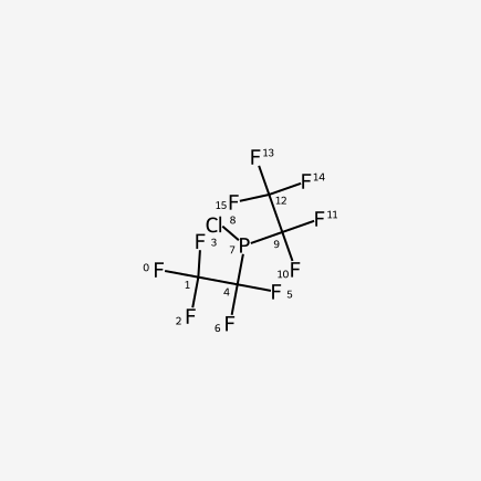 FC(F)(F)C(F)(F)P(Cl)C(F)(F)C(F)(F)F